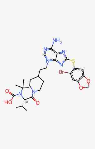 CC(C)[C@@H](C(=O)N1CCC(CCn2cnc(N)c3nc(Sc4cc5c(cc4Br)OCO5)nc2-3)CC1)N(C(=O)O)C(C)(C)C